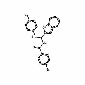 O=C(NC(Nc1ccc(Cl)cc1)c1cc2ccccc2o1)c1ccc(Br)cn1